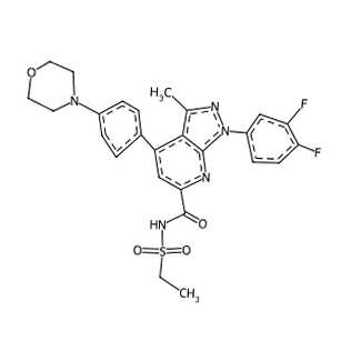 CCS(=O)(=O)NC(=O)c1cc(-c2ccc(N3CCOCC3)cc2)c2c(C)nn(-c3ccc(F)c(F)c3)c2n1